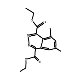 CCOC(=O)c1nnc(C(=O)OCC)c2c(C)cc(C)cc12